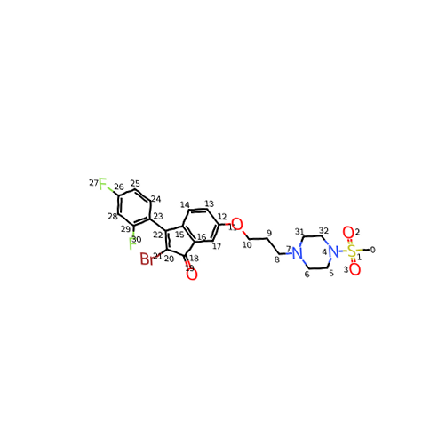 CS(=O)(=O)N1CCN(CCCOc2ccc3c(c2)C(=O)C(Br)=C3c2ccc(F)cc2F)CC1